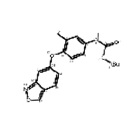 Cc1cc(NC(=O)OC(C)(C)C)ccc1Oc1ccc2conc2c1